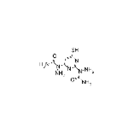 NC(=O)N(N)c1cc(S)nc(N(N)C(N)=O)n1